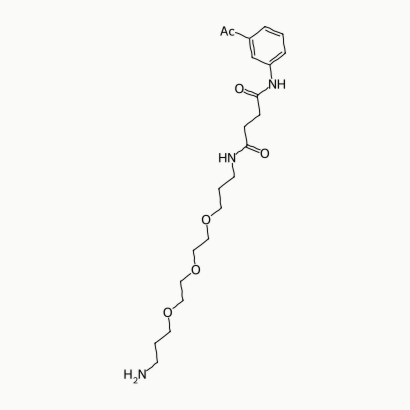 CC(=O)c1cccc(NC(=O)CCC(=O)NCCCOCCOCCOCCCN)c1